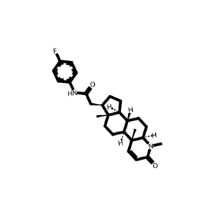 CN1C(=O)C=C[C@]2(C)[C@H]3CC[C@]4(C)[C@@H](CC(=O)Nc5ccc(F)cc5)CC[C@H]4[C@@H]3CC[C@@H]12